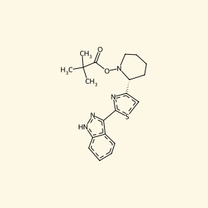 CC(C)(C)C(=O)ON1CCCC[C@@H]1c1csc(-c2n[nH]c3ccccc23)n1